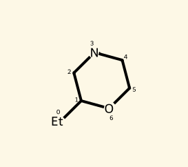 CCC1C[N]CCO1